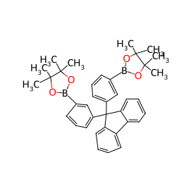 CC1(C)OB(c2cccc(C3(c4cccc(B5OC(C)(C)C(C)(C)O5)c4)c4ccccc4-c4ccccc43)c2)OC1(C)C